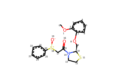 COc1ccccc1OC[C@H]1SCCN1C(=O)C[S@+]([O-])c1ccccc1